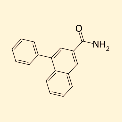 NC(=O)c1cc(-c2ccccc2)c2ccccc2c1